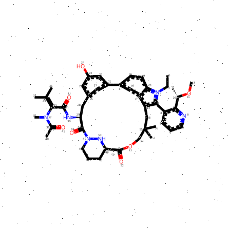 CCn1c(-c2cccnc2[C@H](C)OC)c2c3cc(ccc31)-c1cc(O)cc(c1)C[C@H](NC(=O)C(=C(C)C)N(C)C(C)=O)C(=O)N1CCC[C@@](C)(N1)C(=O)OCC(C)(C)C2